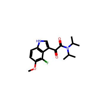 COc1ccc2[nH]cc(C(=O)C(=O)N(C(C)C)C(C)C)c2c1F